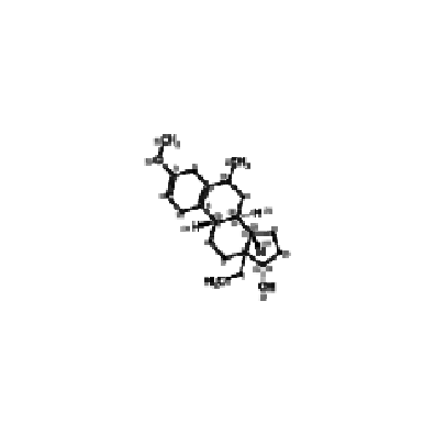 CCC12CC[C@@H]3C4=C(CC(OC)=CC4)C(C)C[C@H]3[C@@H]1CC[C@@H]2O